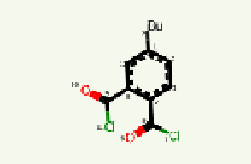 CCC(C)c1ccc(C(=O)Cl)c(C(=O)Cl)c1